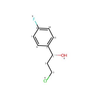 O[C@H](CCCl)c1ccc(F)cc1